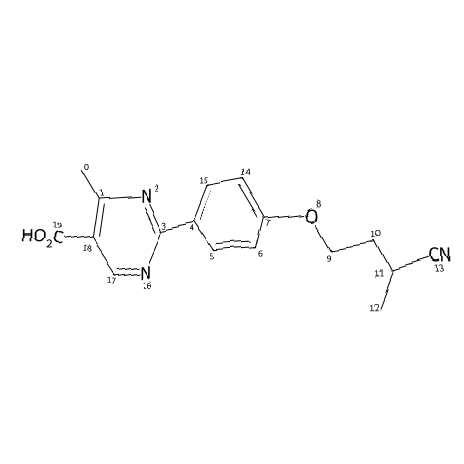 Cc1nc(-c2ccc(OCCC(C)C#N)cc2)ncc1C(=O)O